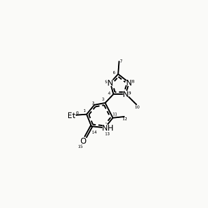 CCc1cc(-c2nc(C)nn2C)c(C)[nH]c1=O